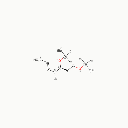 C[C@H](C=CC(=O)O)[C@H](CCO[Si](C)(C)C(C)(C)C)O[Si](C)(C)C(C)(C)C